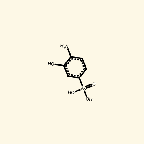 Nc1ccc([As](=O)(O)O)cc1O